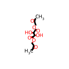 CC1OC1COC(=O)C(O)C(O)C(=O)OCC1OC1C